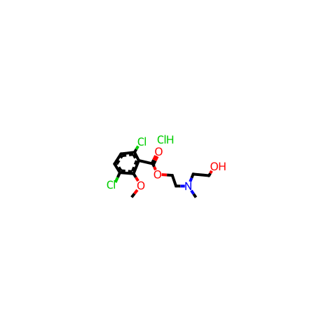 COc1c(Cl)ccc(Cl)c1C(=O)OCCN(C)CCO.Cl